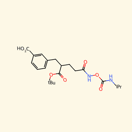 CC(C)NC(=O)ONC(=O)CCC(Cc1cccc(C(=O)O)c1)C(=O)OC(C)(C)C